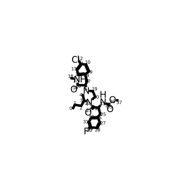 CCCC1CN(C(Cc2ccc(Cl)cc2)C(=O)NC)CCN1C(=O)C(Cc1ccc(F)cc1)NC(=O)OC